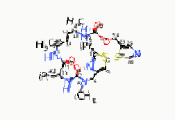 CC(C)c1nc(CN(C)C(=O)NC(C(=O)N[C@@H](C)CC[C@H](C)NC(=O)OCc2cncs2)C(C)C)cs1